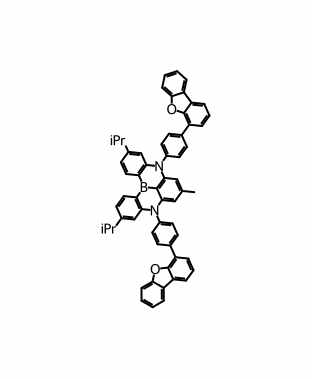 Cc1cc2c3c(c1)N(c1ccc(-c4cccc5c4oc4ccccc45)cc1)c1cc(C(C)C)ccc1B3c1ccc(C(C)C)cc1N2c1ccc(-c2cccc3c2oc2ccccc23)cc1